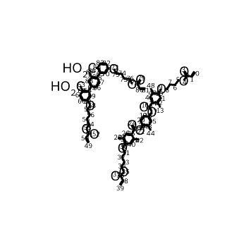 C=CC(=O)OCCCCOc1cc(C)c(C(=O)Oc2ccc(OC(=O)c3cc(C)c(OCCCCOC(=O)C=C)cc3C)c(C)c2)cc1C.C=CC(=O)OCCCCOc1ccc(C(=O)O)c(-c2ccc(-c3cc(OCCCCOC(=O)C=C)ccc3C(=O)O)c(C)c2)c1